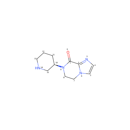 O=C1c2nccn2CCN1[C@@H]1CCCNC1